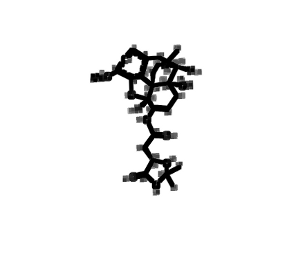 COc1ccc2c3c1O[C@H]1C(OC(=O)C[C@H]4OC(C)(C)OC4=O)=CC[C@@]4(O)[C@@H](C2)N(C)CC[C@]314